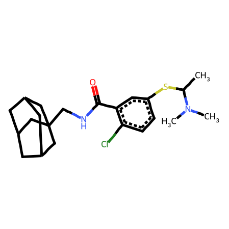 CC(Sc1ccc(Cl)c(C(=O)NCC23CC4CC(CC(C4)C2)C3)c1)N(C)C